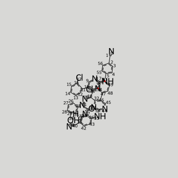 N#Cc1ccc(Nc2ncc(-c3ccccc3Cl)c(C(=NN(C(N)=O)c3cccc(O)c3)c3nc(Nc4ccc(C#N)cc4)ncc3-c3ccccc3Cl)n2)cc1